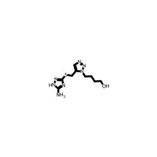 Nc1nc(SCc2cnnn2CCCCO)n[nH]1